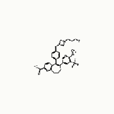 COc1ncc(C2=C(c3ccc(CC4CN(CCCF)C4)cc3)c3ccc(C(=O)O)cc3CCC2)cc1C(F)(F)F